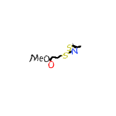 COC(=O)CCCSc1nc(C)[c]s1